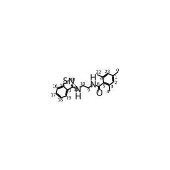 Cc1cc(C)c(C(=O)NCCNc2nsc3ccccc23)c(C)c1